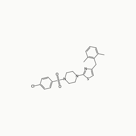 Cc1cccc(C)c1Cc1csc(N2CCN(S(=O)(=O)c3ccc(Cl)cc3)CC2)n1